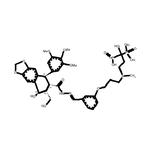 COc1cc([C@@H]2c3cc4c(cc3[C@H](O)[C@@H](CO)[C@H]2C(=O)N/N=C/c2cccc(OCCCN(C)CCC(O)([PH](=O)O)P(=O)(O)O)c2)OCO4)cc(OC)c1OC